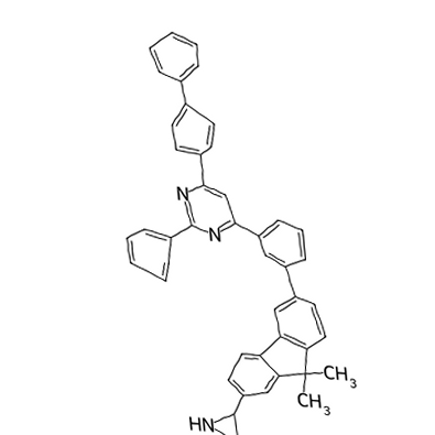 CC1(C)c2ccc(-c3cccc(-c4cc(-c5ccc(-c6ccccc6)cc5)nc(-c5ccccc5)n4)c3)cc2-c2ccc(C3CN3)cc21